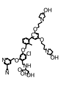 Cc1c(COc2cc(OCc3cncc(C#N)c3)c(CNC(CO)C(=O)O)cc2Cl)cccc1-c1cc(OCCCN2CC[C@@H](O)C2)cc(OCCCN2CC[C@@H](O)C2)c1